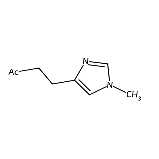 CC(=O)CCc1cn(C)cn1